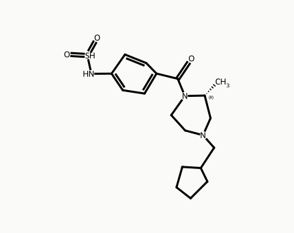 C[C@@H]1CN(CC2CCCC2)CCN1C(=O)c1ccc(N[SH](=O)=O)cc1